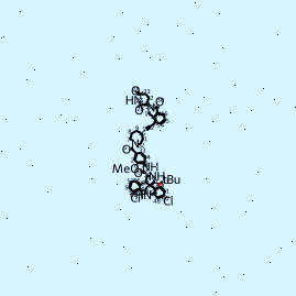 COc1cc(C(=O)N2CCC[C@H](C#Cc3cccc4c3CN(C3CCC(=O)NC3=O)C4=O)CC2)ccc1NC(=O)[C@@H]1N[C@@H](CC(C)(C)C)[C@@]2(CNc3cc(Cl)ccc32)[C@H]1c1cccc(Cl)c1F